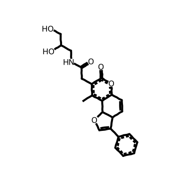 Cc1c2c(oc(=O)c1CC(=O)NCC(O)CO)C=CC1C(c3ccccc3)=COC21